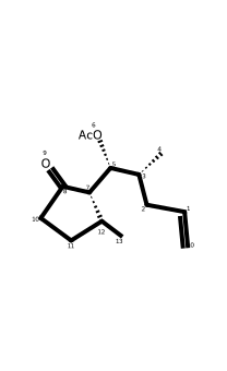 C=CC[C@@H](C)[C@@H](OC(C)=O)[C@H]1C(=O)CCC1C